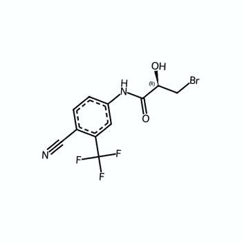 N#Cc1ccc(NC(=O)[C@@H](O)CBr)cc1C(F)(F)F